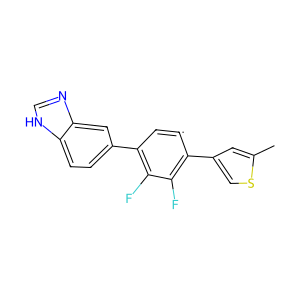 Cc1cc(-c2[c]cc(-c3ccc4[nH]cnc4c3)c(F)c2F)cs1